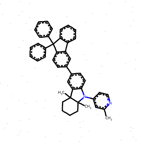 Cc1cc(N2c3ccc(-c4ccc5c(c4)-c4ccccc4C5(c4ccccc4)c4ccccc4)cc3C3(C)CCCCC23C)ccn1